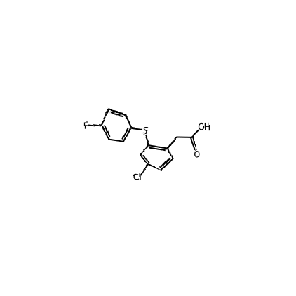 O=C(O)Cc1ccc(Cl)cc1Sc1ccc(F)cc1